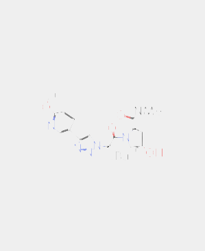 CCOc1ccc(-c2cn([C@H](C(=O)N3C[C@H](O)C[C@H]3C(=O)NC)C(C)(C)C)nn2)cn1